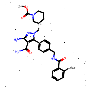 COc1ccccc1C(=O)NCc1ccc(-c2c(C(N)=O)c(N)nn2C[C@H]2CCCN(C(=O)OC(C)(C)C)C2)cc1